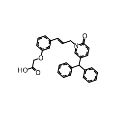 O=C(O)COc1cccc(C=CCn2cc(C(c3ccccc3)c3ccccc3)ccc2=O)c1